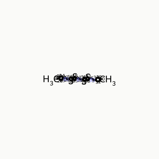 Cc1ccc(/C=C/c2cc3sc(/C=C/c4cc5c(s4)CC(/C=C/c4ccc(C)cc4)S5)cc3s2)cc1